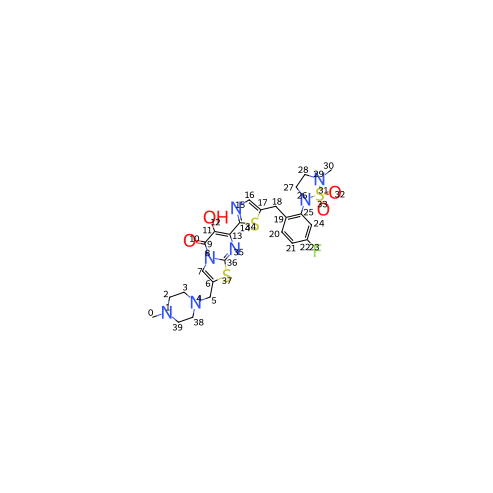 CN1CCN(Cc2cn3c(=O)c(O)c(-c4ncc(Cc5ccc(F)cc5N5CCN(C)S5(=O)=O)s4)nc3s2)CC1